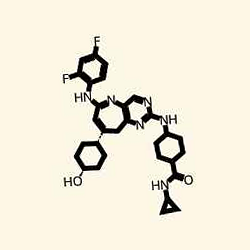 O=C(NC1CC1)C1CCC(Nc2ncc3c(n2)CC([C@H]2CC[C@@H](O)CC2)=CC(Nc2ccc(F)cc2F)=N3)CC1